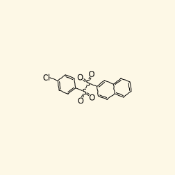 O=S(=O)(c1ccc(Cl)cc1)S(=O)(=O)c1ccc2ccccc2c1